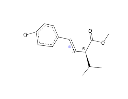 COC(=O)[C@H](/N=C/c1ccc(Cl)cc1)C(C)C